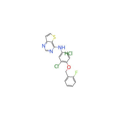 Cl.Fc1ccccc1COc1ccc(Nc2ncnc3ccsc23)cc1Cl